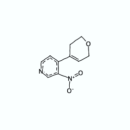 O=[N+]([O-])c1cnccc1C1=CCOCC1